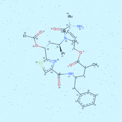 C=CCOC(=O)C(C)CC(Cc1ccccc1)NC(=O)c1csc([C@@H](C[C@H](C(C)C)N(C)C(=O)[C@@H](N)[C@@H](C)CC)OC(=O)CC)n1